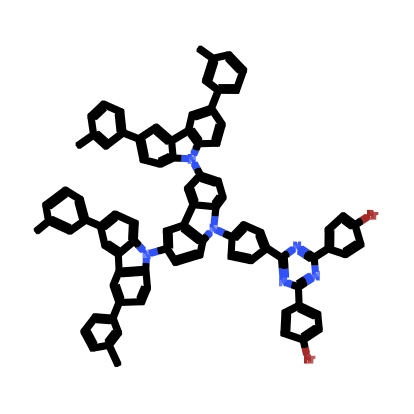 Cc1cccc(-c2ccc3c(c2)c2cc(-c4cccc(C)c4)ccc2n3-c2ccc3c(c2)c2cc(-n4c5ccc(-c6cccc(C)c6)cc5c5cc(-c6cccc(C)c6)ccc54)ccc2n3-c2ccc(-c3nc(-c4ccc(Br)cc4)nc(-c4ccc(Br)cc4)n3)cc2)c1